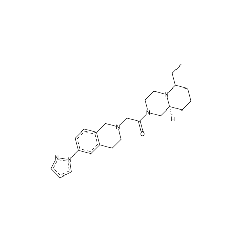 CCC1CCC[C@H]2CN(C(=O)CN3CCc4cc(-n5cccn5)ccc4C3)CCN12